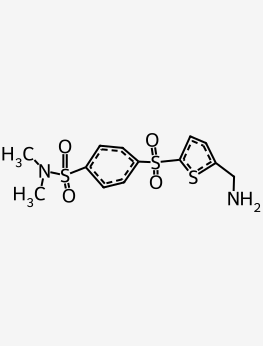 CN(C)S(=O)(=O)c1ccc(S(=O)(=O)c2ccc(CN)s2)cc1